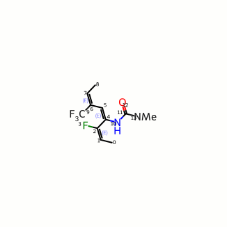 C\C=C(F)/C(=C\C(=C/C)C(F)(F)F)NC(=O)NC